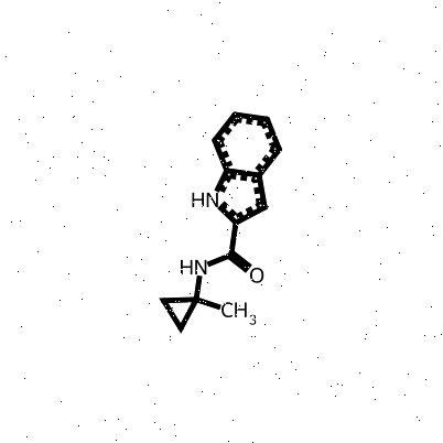 CC1(NC(=O)c2cc3ccccc3[nH]2)CC1